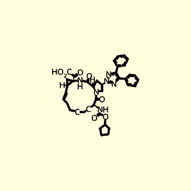 O=C(N[C@H]1CCCCC/C=C\[C@@H]2C[C@@]2(C(=O)C(=O)O)NC(=O)[C@@H]2C[C@@H](n3nc(-c4ccccc4)c(-c4ccccc4)n3)CN2C1=O)OC1CCCC1